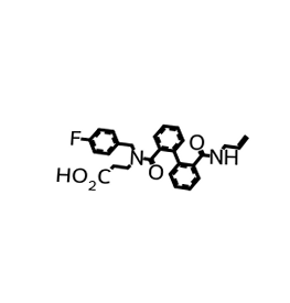 C=CCNC(=O)c1ccccc1-c1ccccc1C(=O)N(CCC(=O)O)Cc1ccc(F)cc1